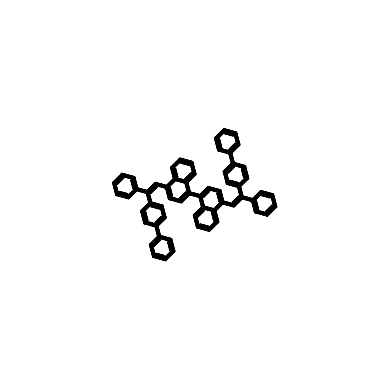 C(=C(c1ccccc1)c1ccc(-c2ccccc2)cc1)c1ccc(-c2ccc(C=C(c3ccccc3)c3ccc(-c4ccccc4)cc3)c3ccccc23)c2ccccc12